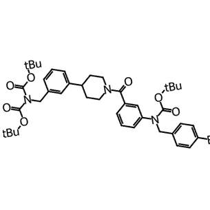 CC(C)(C)OC(=O)N(Cc1cccc(C2CCN(C(=O)c3cccc(N(Cc4ccc(Br)cc4)C(=O)OC(C)(C)C)c3)CC2)c1)C(=O)OC(C)(C)C